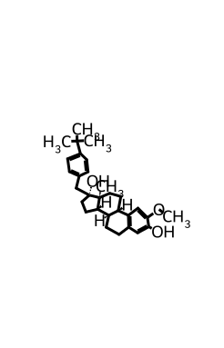 COc1cc2c(cc1O)CC[C@@H]1[C@@H]2CC[C@@]2(C)[C@H]1CC[C@@]2(O)Cc1ccc(C(C)(C)C)cc1